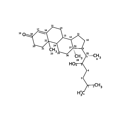 CC(C)CCC(O)[C@@H](C)C1CCC2C3CCC4=CC(=O)CCC4(C)C3CC[C@@]21C